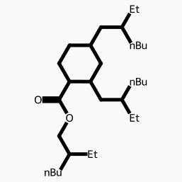 CCCCC(CC)COC(=O)C1CCC(CC(CC)CCCC)CC1CC(CC)CCCC